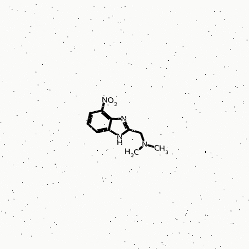 CN(C)Cc1nc2c([N+](=O)[O-])cccc2[nH]1